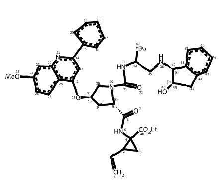 C=CC1CC1(NC(=O)[C@@H]1C[C@@H](Oc2cc(-c3ccccc3)nc3cc(OC)ccc23)CN1C(=O)NC(CN[C@H]1c2ccccc2C[C@H]1O)C(C)(C)C)C(=O)OCC